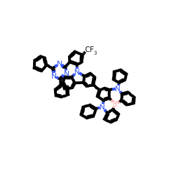 FC(F)(F)c1ccc(-c2nc(-c3ccccc3)nc(-c3ccccc3)n2)c(-n2c3ccccc3c3cc(-c4cc5c6c(c4)N(c4ccccc4)c4ccccc4B6c4ccccc4N5c4ccccc4)ccc32)c1